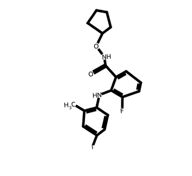 Cc1cc(I)ccc1Nc1c(F)cccc1C(=O)NOC1CCCC1